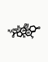 CC(=O)[C@@]1(O)CC[C@H]2[C@@H]3C[C@H](F)C4=CC(=O)CC[C@]4(C)[C@@]3(F)[C@@H](O)C[C@@]21C